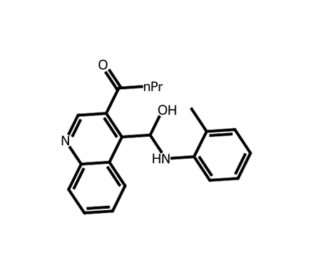 CCCC(=O)c1cnc2ccccc2c1C(O)Nc1ccccc1C